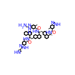 Cc1cc2nc[nH]c2cc1C(=O)N[C@H](C)c1cccc2cc(C[C@@H](NC(=O)c3cc4[nH]c(CN)nc4cc3C)c3cccc4cc(C[C@@H](NC(=O)c5cc6[nH]c(C7CNC7)nc6cc5C)c5cccc6ccccc56)ccc34)ccc12